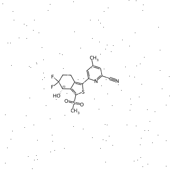 Cc1cc(C#N)nc(-c2sc(S(C)(=O)=O)c3c2CCC(F)(F)[C@H]3O)c1